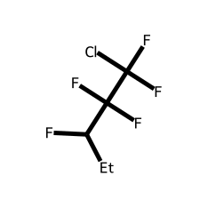 CCC(F)C(F)(F)C(F)(F)Cl